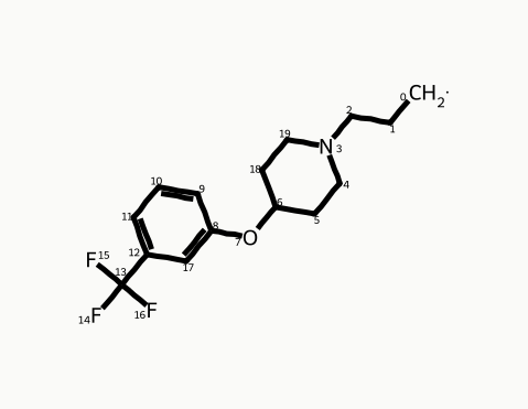 [CH2]CCN1CCC(Oc2cccc(C(F)(F)F)c2)CC1